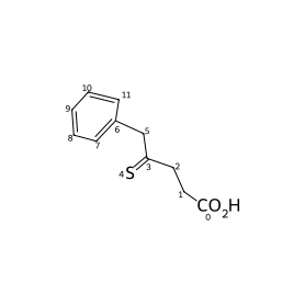 O=C(O)CCC(=S)Cc1ccccc1